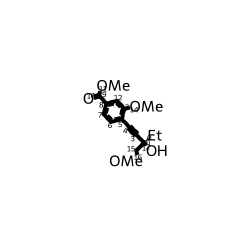 CC[C@@](O)(C#Cc1ccc(C(=O)OC)cc1OC)COC